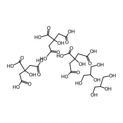 O=C(O)CC(O)(CC(=O)O)C(=O)O.O=C(O)CC(O)(CC(=O)O)C(=O)O.O=C(O)CC(O)(CC(=O)O)C(=O)O.OCC(O)CO.OCC(O)CO